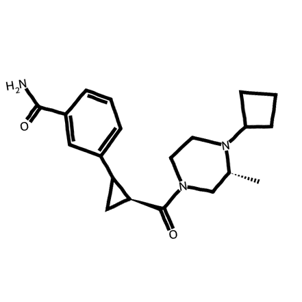 C[C@@H]1CN(C(=O)[C@H]2CC2c2cccc(C(N)=O)c2)CCN1C1CCC1